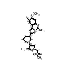 COc1cc2nc(N)n3nc(C4CCCN(c5cn(CS(C)(=O)=O)nc5C)C4)nc3c2cc1F